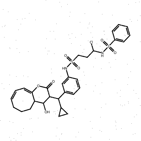 O=C1OC2=CC=CCCCC2C(O)C1C(c1cccc(NS(=O)(=O)CCC(Cl)NS(=O)(=O)c2ccccc2)c1)C1CC1